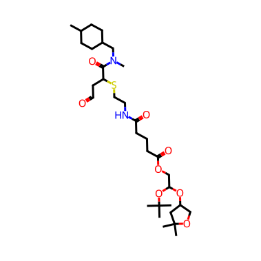 CC1CCC(CN(C)C(=O)C(CC=O)SCCNC(=O)CCCC(=O)OCC(OC2COC(C)(C)C2)OC(C)(C)C)CC1